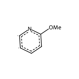 COc1cc[c][c]n1